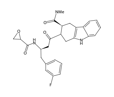 CNC(=O)[C@H]1Cc2c([nH]c3ccccc23)CC1C(=O)C[C@@H](Cc1cccc(F)c1)NC(=O)C1CO1